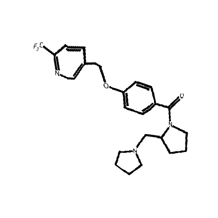 O=C(c1ccc(OCc2ccc(C(F)(F)F)nc2)cc1)N1CCCC1CN1CCCC1